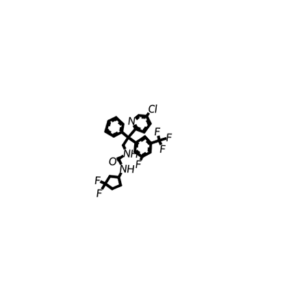 O=C(NCC(c1ccccc1)(c1cc(F)cc(C(F)(F)F)c1)c1ccc(Cl)cn1)NC1CCC(F)(F)C1